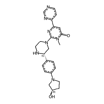 Cn1c(N2CCN[C@@H](c3ccc(N4CC[C@@H](O)C4)cc3)C2)nc(-c2ccncn2)cc1=O